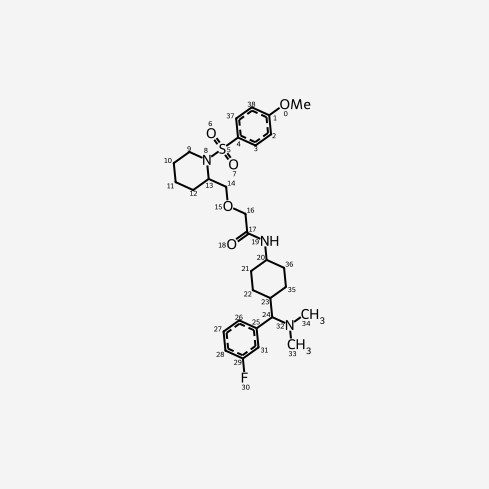 COc1ccc(S(=O)(=O)N2CCCCC2COCC(=O)NC2CCC(C(c3cccc(F)c3)N(C)C)CC2)cc1